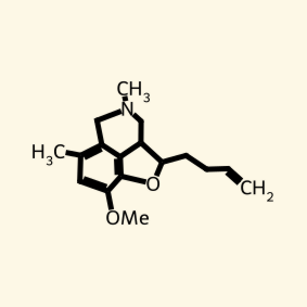 C=CCCC1Oc2c(OC)cc(C)c3c2C1CN(C)C3